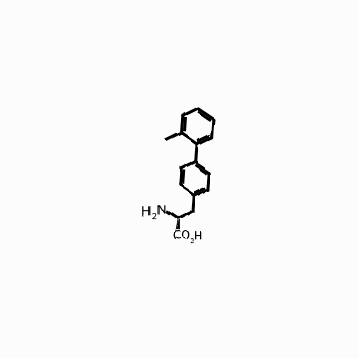 Cc1ccccc1-c1ccc(C[C@H](N)C(=O)O)cc1